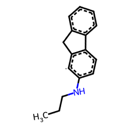 CCCNc1[c]c2c(cc1)-c1ccccc1C2